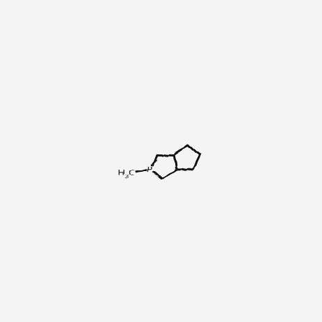 CP1CC2CCCC2C1